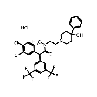 CN(CCN1CCC(O)(c2ccccc2)CC1)C(=O)C(c1cc(C(F)(F)F)cc(C(F)(F)F)c1)c1ccc(Cl)c(Cl)c1.Cl